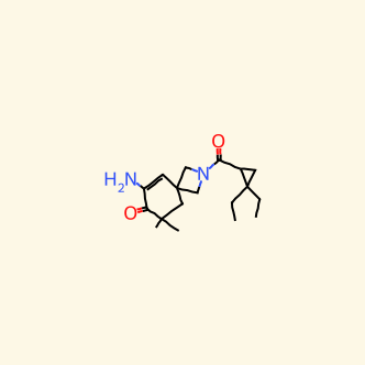 CCC1(CC)CC1C(=O)N1CC2(C=C(N)C(=O)C(C)(C)C2)C1